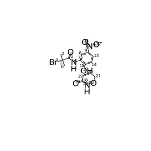 CC(C)(Br)C(=O)Nc1cc([N+](=O)[O-])ccc1O.O=C1C=CCON1